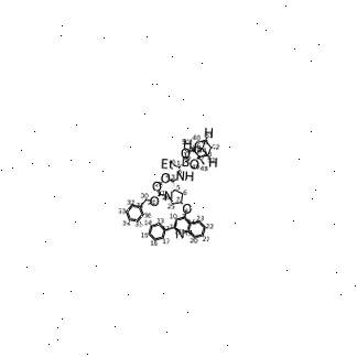 CC[C@H](NC(=O)[C@@H]1C[C@@H](Oc2cc(-c3ccccc3)nc3ccccc23)CN1C(=O)OCc1ccccc1)B1O[C@@H]2C[C@@H]3C[C@@H](C3(C)C)[C@]2(C)O1